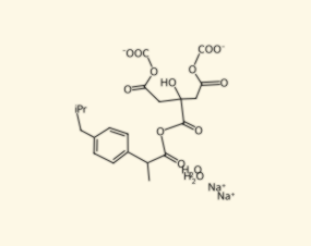 CC(C)Cc1ccc(C(C)C(=O)OC(=O)C(O)(CC(=O)OC(=O)[O-])CC(=O)OC(=O)[O-])cc1.O.O.[Na+].[Na+]